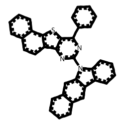 c1ccc(-c2nc(-n3c4ccccc4c4cc5ccccc5cc43)nc3c2sc2c4ccccc4ccc32)cc1